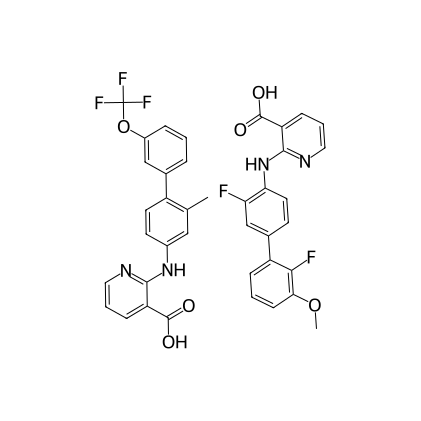 COc1cccc(-c2ccc(Nc3ncccc3C(=O)O)c(F)c2)c1F.Cc1cc(Nc2ncccc2C(=O)O)ccc1-c1cccc(OC(F)(F)F)c1